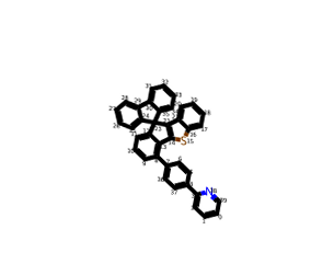 c1ccc(-c2ccc(-c3cccc4c3-c3sc5ccccc5c3C43c4ccccc4-c4ccccc43)cc2)nc1